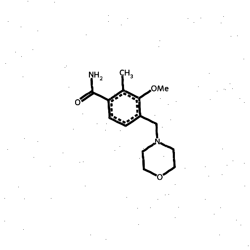 COc1c(CN2CCOCC2)ccc(C(N)=O)c1C